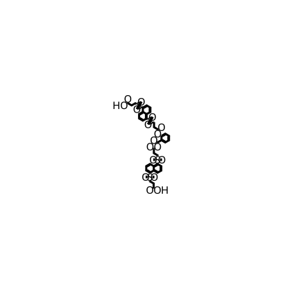 O=C(O)CCS(=O)(=O)c1cccc2c(S(=O)(=O)CCC(=O)OC(=O)c3ccccc3OC(=O)CCS(=O)(=O)c3cccc4c(S(=O)(=O)CCC(=O)O)cccc34)cccc12